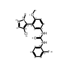 COc1ccc(NC(=O)Nc2ccccc2F)cc1-c1c(Cl)cnn1C